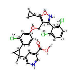 COC(=O)c1cncc(C2(C)CC2c2ccc(OCc3c(-c4c(Cl)cccc4Cl)noc3C3CC3)cc2Cl)c1